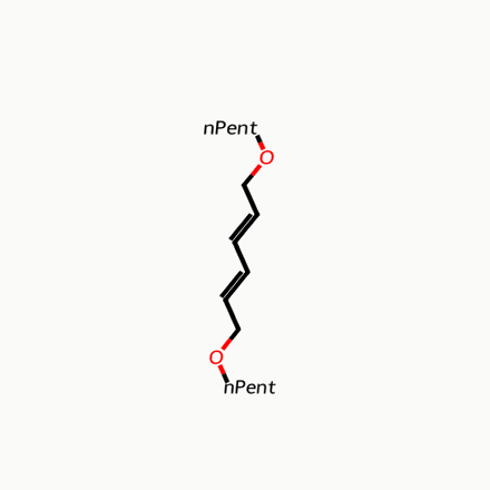 CCCCCOC/C=C/C=C/COCCCCC